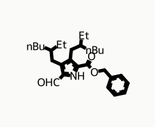 CCCCC(CC)Cc1c(C=O)[nH]c(C(=O)OCc2ccccc2)c1CC(CC)CCCC